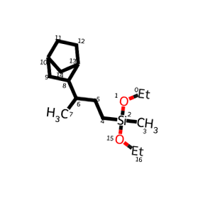 CCO[Si](C)(CCC(C)C1CC2CCC1C2)OCC